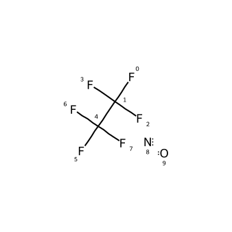 FC(F)(F)C(F)(F)F.[N].[O]